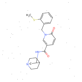 CSc1ccccc1Cn1cc(C(=O)NC2CN3CCC2CC3)ccc1=O